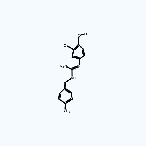 CCOc1ccc(/N=C(\NC)NCc2ccc(C)cc2)cc1Cl